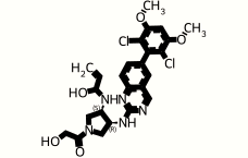 C=CC(O)N[C@H]1CN(C(=O)CO)C[C@H]1Nc1ncc2cc(-c3c(Cl)c(OC)cc(OC)c3Cl)ccc2n1